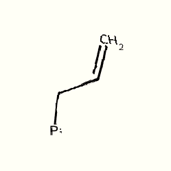 C=CC[P]